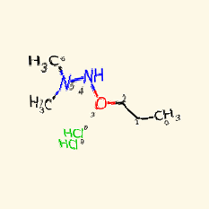 CCCONN(C)C.Cl.Cl